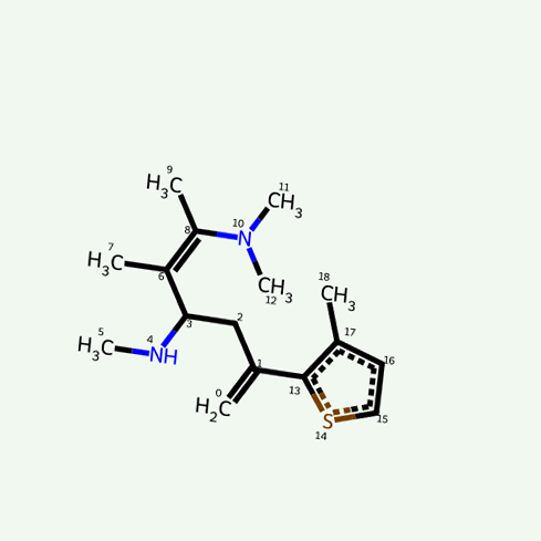 C=C(CC(NC)/C(C)=C(/C)N(C)C)c1sccc1C